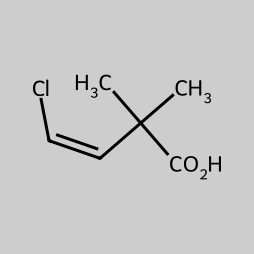 CC(C)(/C=C\Cl)C(=O)O